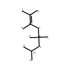 CC(C)=C(C)CC(C)(C)CC(C)C